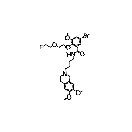 COc1cc2c(cc1OC)CN(CCCCNC(=O)c1cc(Br)cc(OC)c1OCCOCCF)CC2